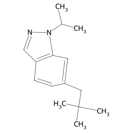 CC(C)n1ncc2ccc(CC(C)(C)C)cc21